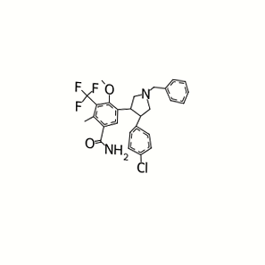 COc1c(C2CN(Cc3ccccc3)CC2c2ccc(Cl)cc2)cc(C(N)=O)c(C)c1C(F)(F)F